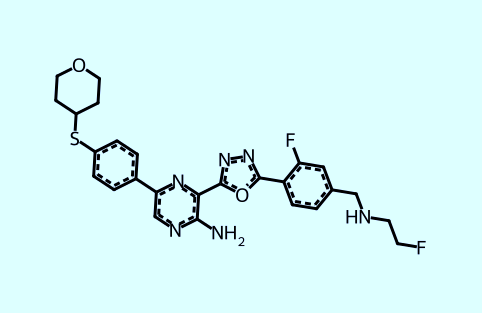 Nc1ncc(-c2ccc(SC3CCOCC3)cc2)nc1-c1nnc(-c2ccc(CNCCF)cc2F)o1